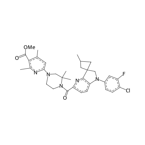 COC(=O)c1c(C)cc(N2CCN(C(=O)c3ccc4c(n3)C3(CC(C)C3)CN4c3ccc(Cl)c(F)c3)C(C)(C)C2)nc1C